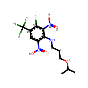 CC(C)OCCCNc1c([N+](=O)[O-])cc(C(F)(F)F)c(Cl)c1[N+](=O)[O-]